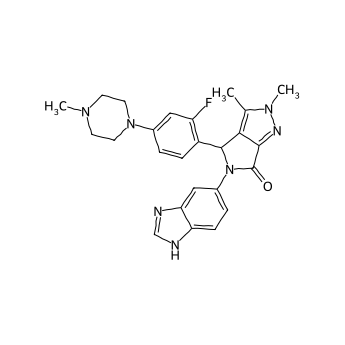 Cc1c2c(nn1C)C(=O)N(c1ccc3[nH]cnc3c1)C2c1ccc(N2CCN(C)CC2)cc1F